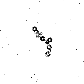 O=C(NCc1cccnc1)Nc1ccc(-n2nc(N3CCC(CN4CCOCC4)CC3)c3ccccc32)cc1